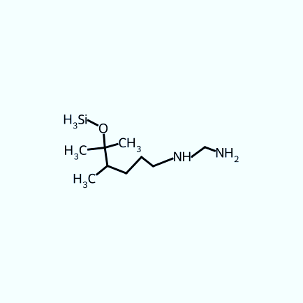 CC(CCCNCCN)C(C)(C)O[SiH3]